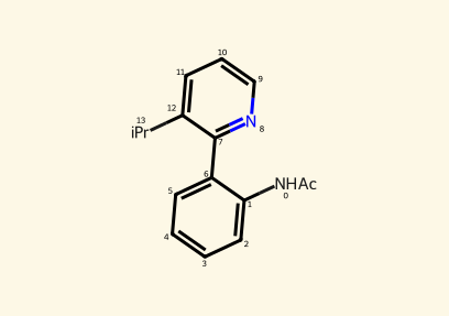 CC(=O)Nc1ccccc1-c1ncccc1C(C)C